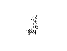 Cc1ccc(F)cc1N1CCN(C(=O)CCC2(C)NC(=O)NC2=O)C[C@@H]1C